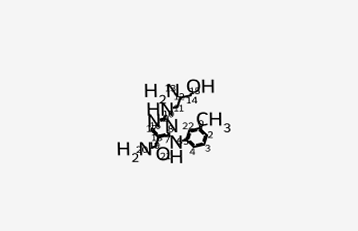 Cc1cccc(Nc2nc(NC[C@@H](N)CO)ncc2C(N)=O)c1